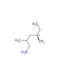 CC[C@@H](C)CC(C)CN